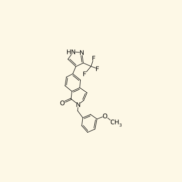 COc1cccc(Cn2ccc3cc(-c4c[nH]nc4C(F)(F)F)ccc3c2=O)c1